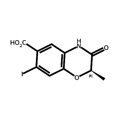 C[C@H]1Oc2cc(I)c(C(=O)O)cc2NC1=O